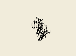 COC(=O)N(C(=O)[C@@H](N)[C@H](c1cncc(F)c1)c1cccc(Cl)c1)c1cccc(F)c1CC[C@H]1CNC[C@H](C)N1S(=O)(=O)c1ccccc1